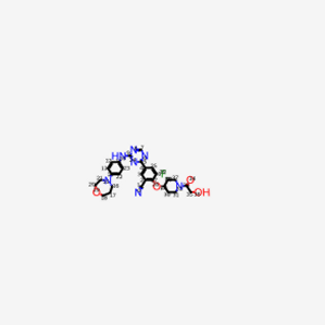 N#Cc1cc(-c2ncnc(Nc3ccc(N4CCCOCC4)cc3)n2)ccc1O[C@H]1CCN(C(=O)CO)C[C@H]1F